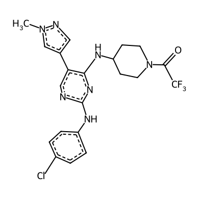 Cn1cc(-c2cnc(Nc3ccc(Cl)cc3)nc2NC2CCN(C(=O)C(F)(F)F)CC2)cn1